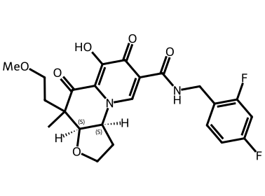 COCCC1(C)C(=O)c2c(O)c(=O)c(C(=O)NCc3ccc(F)cc3F)cn2[C@H]2CCO[C@H]21